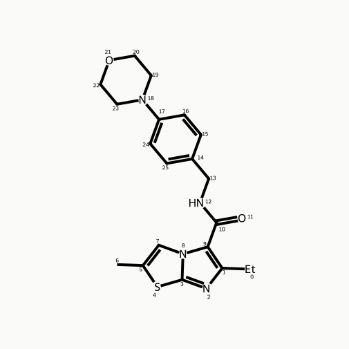 CCc1nc2sc(C)cn2c1C(=O)NCc1ccc(N2CCOCC2)cc1